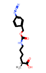 C[C@@H](CCCCNC(=O)OCc1ccc(N=[N+]=[N-])cc1)C(=O)O